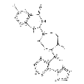 CC1CCN(C2NC(=O)c3cc(Cl)ccc3N2)CCN1C(=O)c1ccccc1-n1nccn1